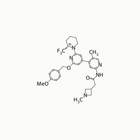 COc1ccc(COc2cc(-c3cc(NC(=O)CC4CN(C)C4)ncc3C)cc(N3CCCC[C@@H]3C(F)(F)F)n2)cc1